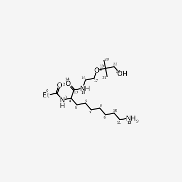 CCC(=O)NC(CCCCCCCN)C(=O)NCCOC(C)(C)CO